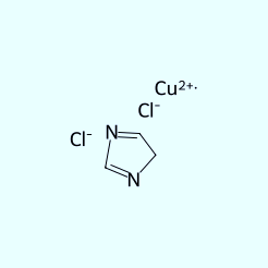 C1=NC=NC1.[Cl-].[Cl-].[Cu+2]